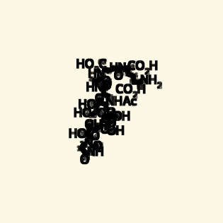 CC(=O)NC1C(OP(=O)(O)OP(=O)(O)OCC2OC(n3ccc(=O)[nH]c3=O)C(O)C2O)OC(CO)C(O)C1OC(C)C(=O)NC(C)C(=O)NC(CCC(=O)NC(CCCC(N)C(=O)O)C(=O)O)C(=O)O